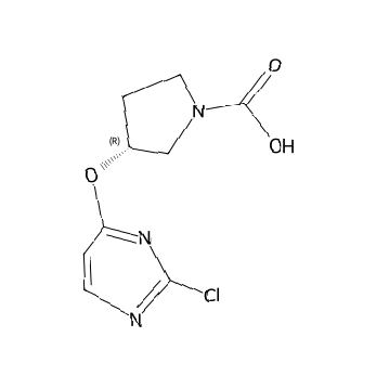 O=C(O)N1CC[C@@H](Oc2ccnc(Cl)n2)C1